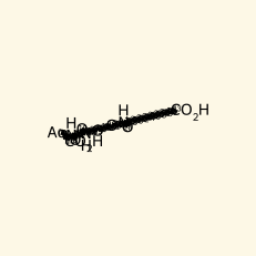 CC(=O)CC[C@H](NC(=O)CCC(=O)NCCCOCCCCOCCCNC(=O)CCCCCCCCCCCCCCCCC(=O)O)C(=O)O